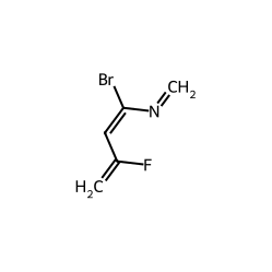 C=N/C(Br)=C\C(=C)F